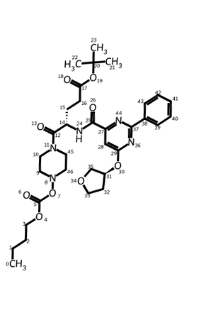 CCCCOC(=O)ON1CCN(C(=O)[C@H](CCC(=O)OC(C)(C)C)NC(=O)c2cc(O[C@H]3CCOC3)nc(-c3ccccc3)n2)CC1